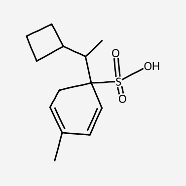 CC1=CCC(C(C)C2CCC2)(S(=O)(=O)O)C=C1